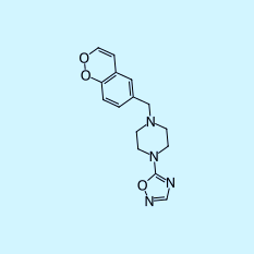 C1=Cc2cc(CN3CCN(c4ncno4)CC3)ccc2OO1